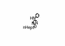 CCCCCCCOc1ncc(Nc2ccccc2)cn1